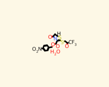 O.O=C(OCc1ccc([N+](=O)[O-])cc1)C1=C(SCC(=O)C(F)(F)F)S[C@H]2CC(=O)N12